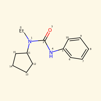 [CH2]CN(C(=O)Nc1ccccc1)C1CCCC1